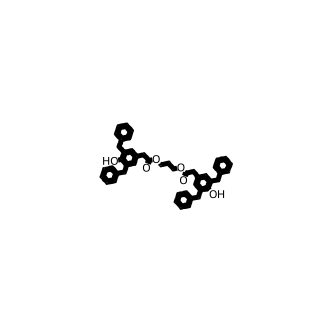 O=C(Cc1cc(Cc2ccccc2)c(O)c(Cc2ccccc2)c1)OCCCOC(=O)Cc1cc(Cc2ccccc2)c(O)c(Cc2ccccc2)c1